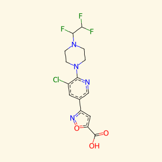 O=C(O)c1cc(-c2cnc(N3CCN(C(F)C(F)F)CC3)c(Cl)c2)no1